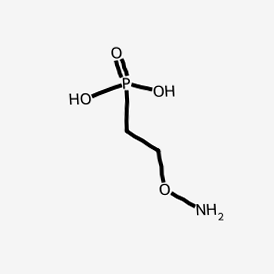 NOCCP(=O)(O)O